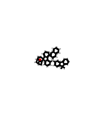 CC1(C)c2ccccc2-c2cc(N(c3ccc4ccccc4c3)c3cccc4c3-c3ccccc3C43C4CC5CC6CC3(C5)C6C4)ccc21